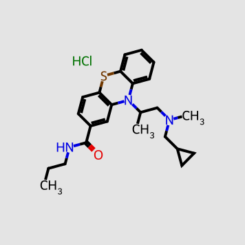 CCCNC(=O)c1ccc2c(c1)N(C(C)CN(C)CC1CC1)c1ccccc1S2.Cl